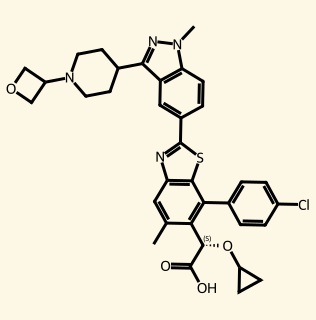 Cc1cc2nc(-c3ccc4c(c3)c(C3CCN(C5COC5)CC3)nn4C)sc2c(-c2ccc(Cl)cc2)c1[C@H](OC1CC1)C(=O)O